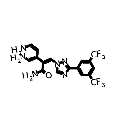 N\C=C/C(=C\N)C(=C/n1cnc(-c2cc(C(F)(F)F)cc(C(F)(F)F)c2)n1)/C(N)=O